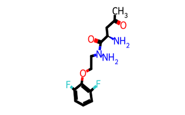 CC(=O)C[C@@H](N)C(=O)N(N)CCOc1c(F)cccc1F